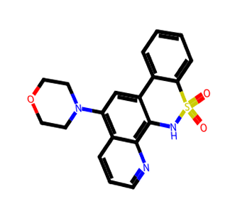 O=S1(=O)Nc2c(cc(N3CCOCC3)c3cccnc23)-c2ccccc21